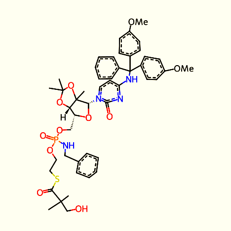 COc1ccc(C(Nc2ccn([C@@H]3O[C@H](COP(=O)(NCc4ccccc4)OCCSC(=O)C(C)(C)CO)[C@@H]4OC(C)(C)OC43C)c(=O)n2)(c2ccccc2)c2ccc(OC)cc2)cc1